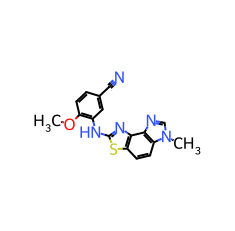 COc1ccc(C#N)cc1Nc1nc2c(ccc3c2ncn3C)s1